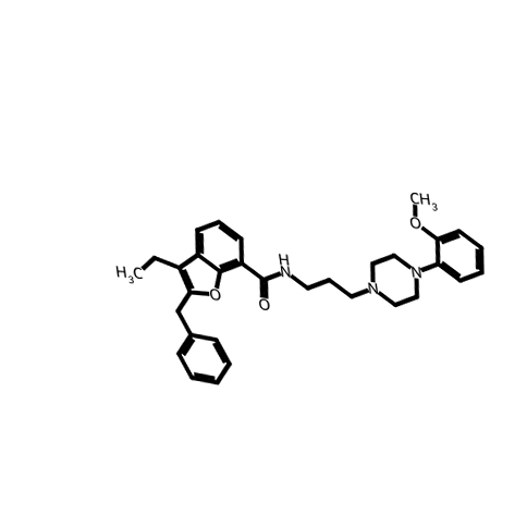 CCc1c(Cc2ccccc2)oc2c(C(=O)NCCCN3CCN(c4ccccc4OC)CC3)cccc12